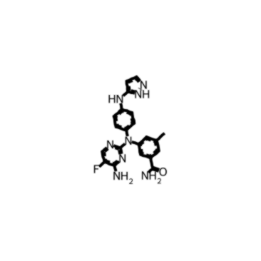 Cc1cc(C(N)=O)cc(N(c2ccc(Nc3ccn[nH]3)cc2)c2ncc(F)c(N)n2)c1